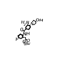 CC(C)(C)OC(=O)Cc1cc(F)ccc1NC(=O)c1ccc(N2CCC(O)CC2)c(N)c1